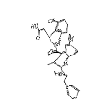 Cc1c(NCCc2ccccc2)nc2ccc(Br)cc2c1C(=O)NCC(CC(=O)O)c1c(F)cccc1Cl